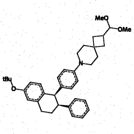 COC(OC)C1CC2(CCN(c3ccc([C@@H]4c5ccc(OC(C)(C)C)cc5CC[C@@H]4c4ccccc4)cc3)CC2)C1